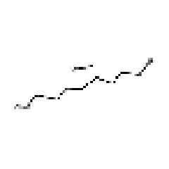 CC(C)=O.CCCCCCCCCCCCCCCCCC(C)C